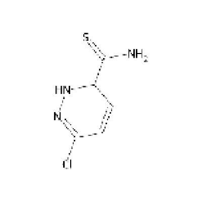 NC(=S)C1C=CC(Cl)=NN1